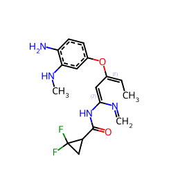 C=N/C(=C\C(=C/C)Oc1ccc(N)c(NC)c1)NC(=O)C1CC1(F)F